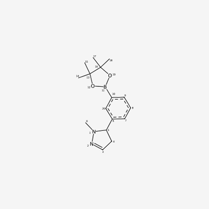 CN1N=CCC1c1cccc(B2OC(C)(C)C(C)(C)O2)c1